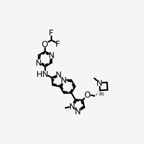 CN1CC[C@@H]1COc1cnn(C)c1-c1ccn2nc(Nc3cnc(OC(F)F)cn3)cc2c1